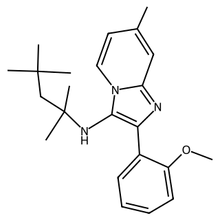 COc1ccccc1-c1nc2cc(C)ccn2c1NC(C)(C)CC(C)(C)C